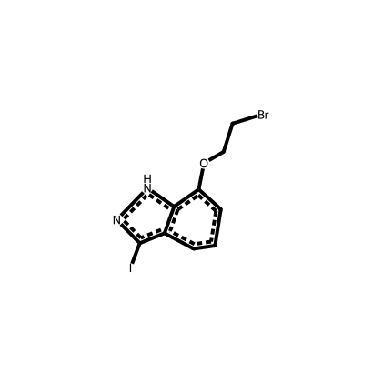 BrCCOc1cccc2c(I)n[nH]c12